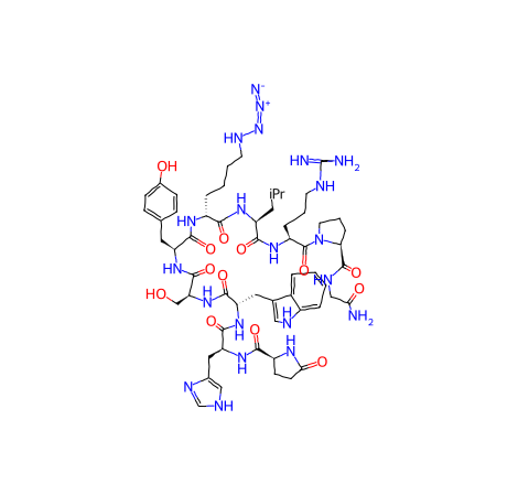 CC(C)C[C@H](NC(=O)[C@@H](CCCCNN=[N+]=[N-])NC(=O)[C@H](Cc1ccc(O)cc1)NC(=O)[C@H](CO)NC(=O)[C@H](Cc1c[nH]c2ccccc12)NC(=O)[C@H](Cc1c[nH]cn1)NC(=O)[C@@H]1CCC(=O)N1)C(=O)N[C@@H](CCCNC(=N)N)C(=O)N1CCC[C@H]1C(=O)NCC(N)=O